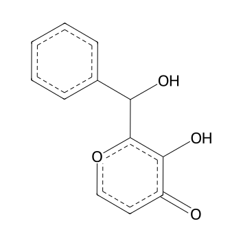 O=c1ccoc(C(O)c2ccccc2)c1O